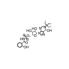 CC[N+](CC)(CC)N1C=Nc2c(ncn2[C@@H]2O[C@H](COS(=O)(=O)NC(=O)c3ccccc3O)C(O)C2O)C1O